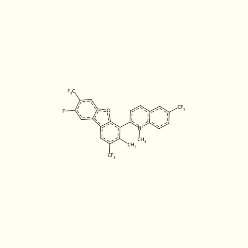 Cc1c(C(F)(F)F)cc2c(oc3cc(C(F)(F)F)c(F)cc32)c1-c1ccc2cc(C(F)(F)F)ccc2[n+]1C